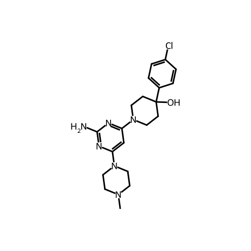 CN1CCN(c2cc(N3CCC(O)(c4ccc(Cl)cc4)CC3)nc(N)n2)CC1